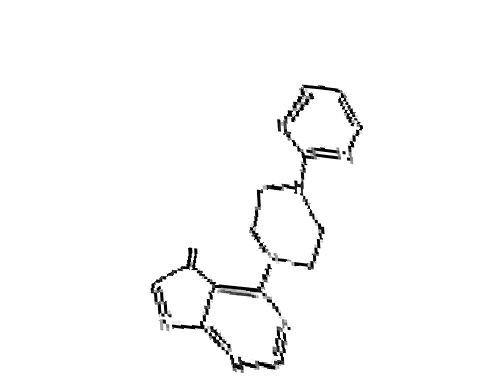 c1cnc(N2CCN(c3ncnc4nc[nH]c34)CC2)nc1